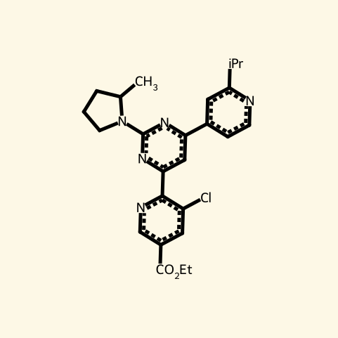 CCOC(=O)c1cnc(-c2cc(-c3ccnc(C(C)C)c3)nc(N3CCCC3C)n2)c(Cl)c1